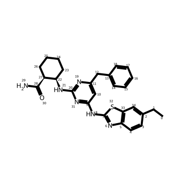 CCc1ccc2nc(Nc3cc(Cc4ccccc4)nc(N[C@@H]4CCCC[C@@H]4C(N)=O)n3)sc2c1